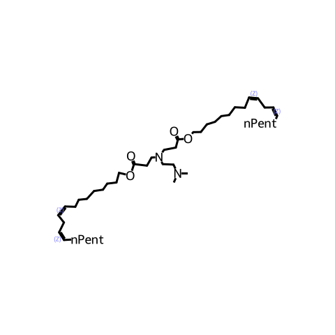 CCCCC/C=C\C/C=C\CCCCCCCCOC(=O)CCN(CCC(=O)OCCCCCCCC/C=C\C/C=C\CCCCC)CCN(C)C